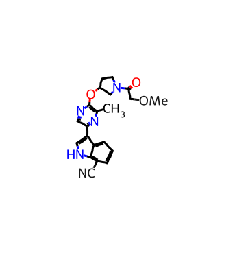 COCC(=O)N1CCC(Oc2ncc(-c3c[nH]c4c(C#N)cccc34)nc2C)C1